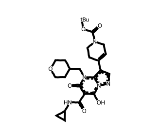 CC(C)(C)OC(=O)N1CC=C(c2cnn3c(O)c(C(=O)NC4CC4)c(=O)n(CC4CCOCC4)c23)CC1